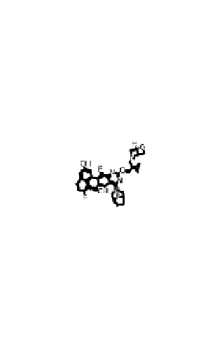 C#Cc1c(F)ccc2cc(O)cc(-c3c(C#N)cc4c(N5CC6CCC(C5)N6)nc(OCC5(CN6C[C@H]7OCC76)CC5)nc4c3F)c12